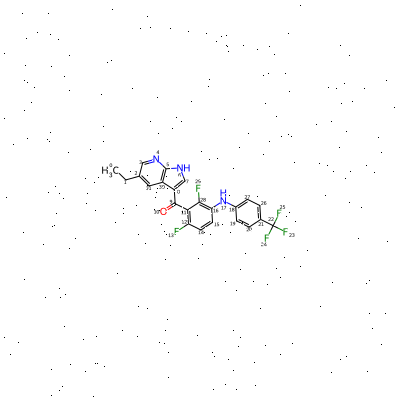 CCc1cnc2[nH]cc(C(=O)c3c(F)ccc(Nc4ccc(C(F)(F)F)cc4)c3F)c2c1